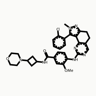 COc1cc(C(=O)NC2CC(N3CCOCC3)C2)ccc1Nc1ncc2c(n1)-c1c(nn(C)c1-c1ccccc1Cl)CC2